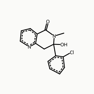 CN1C(=O)c2cccnc2CC1(O)c1ccccc1Cl